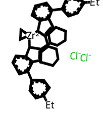 CCc1ccc(-c2cccc3c2C=C(C2CCCCC2)[CH]3[Zr+2]2([CH]3C(C4CCCCC4)=Cc4c(-c5ccc(CC)cc5)cccc43)[CH2][CH2]2)cc1.[Cl-].[Cl-]